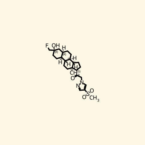 C[C@]12CC[C@H]3[C@@H](CC[C@@H]4C[C@@](O)(CF)CC[C@@H]43)[C@@H]1CC[C@@H]2C(=O)Cn1cc(S(C)(=O)=O)cn1